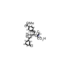 COC(=O)c1ccc(CC(C)NC[C@H](O)c2cccc(Cl)c2)cc1.O=C(O)/C=C/C(=O)O